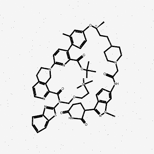 Cc1cc(O[C@@H](C)CCC2CCN(CC(=O)Nc3ccc4c(C5CCC(=O)NC5=O)nn(C)c4c3)CC2)ccc1-c1ccc(N2CCc3ccnc(C(=O)N(COCC[Si](C)(C)C)c4nc5ccccc5s4)c3C2)nc1C(=O)OC(C)(C)C